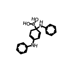 OB(O)C1(Nc2ccccc2)C=CC(Nc2ccccc2)=CC1